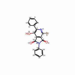 O=C1c2c(Br)nc(-c3ccccc3)c(O)c2C(=O)N1c1ccccc1